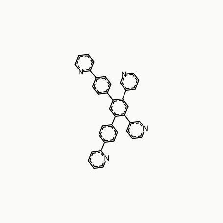 c1ccc(-c2ccc(-c3cc(-c4ccc(-c5ccccn5)cc4)c(-c4cccnc4)cc3-c3cccnc3)cc2)nc1